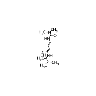 C=C/C(=C\C=C\NC(=O)N(C)C)NC(=C)C(C)C